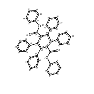 O=C(Oc1ccccc1)c1c(-c2ccccc2)c(-c2ccccc2)c(C(=O)Oc2ccccc2)c(-c2ccccc2)c1-c1ccccc1